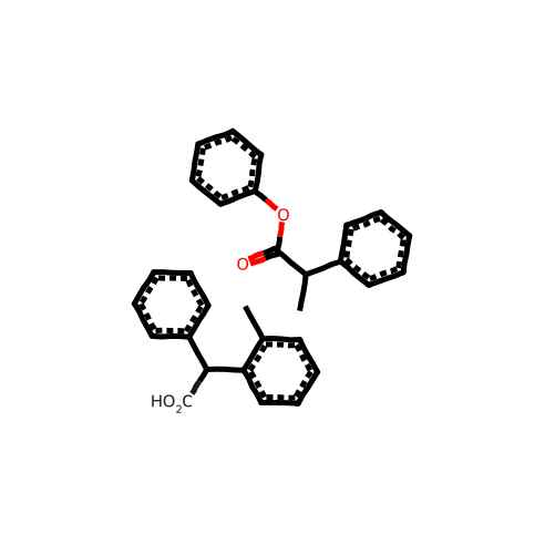 CC(C(=O)Oc1ccccc1)c1ccccc1.Cc1ccccc1C(C(=O)O)c1ccccc1